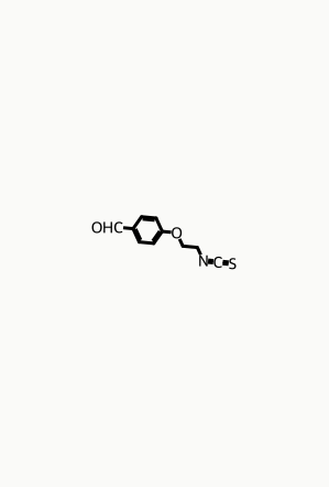 O=Cc1ccc(OCCN=C=S)cc1